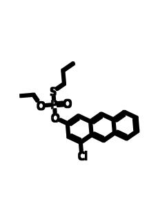 CCCSP(=O)(OCC)Oc1cc(Cl)c2cc3ccccc3cc2c1